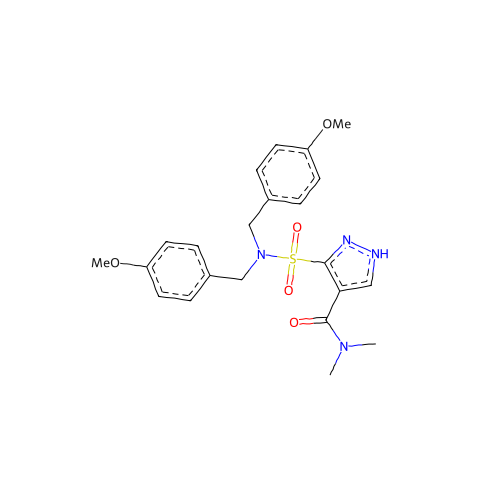 COc1ccc(CN(Cc2ccc(OC)cc2)S(=O)(=O)c2n[nH]cc2C(=O)N(C)C)cc1